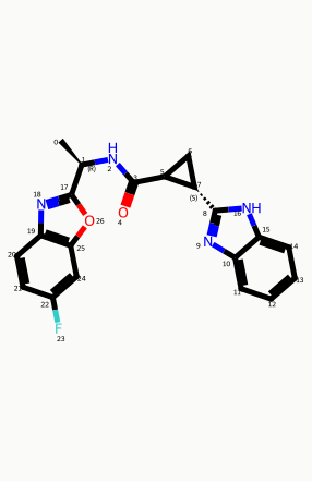 C[C@@H](NC(=O)C1C[C@@H]1c1nc2ccccc2[nH]1)c1nc2ccc(F)cc2o1